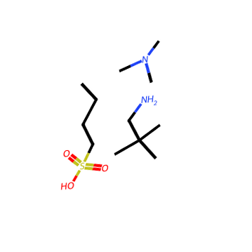 CC(C)(C)CN.CCCCS(=O)(=O)O.CN(C)C